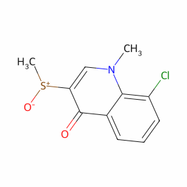 Cn1cc([S+](C)[O-])c(=O)c2cccc(Cl)c21